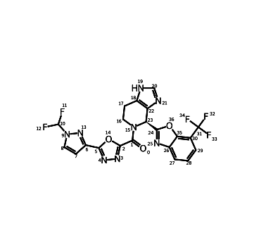 O=C(c1nnc(-c2ccn(C(F)F)n2)o1)N1CCc2[nH]cnc2[C@H]1c1nc2cccc(C(F)(F)F)c2o1